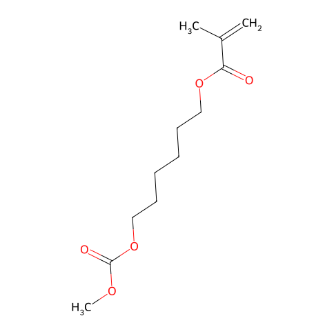 C=C(C)C(=O)OCCCCCCOC(=O)OC